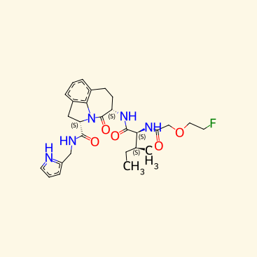 CC[C@H](C)[C@H](NC(=O)COCCF)C(=O)N[C@H]1CCc2cccc3c2N(C1=O)[C@H](C(=O)NCc1ccc[nH]1)C3